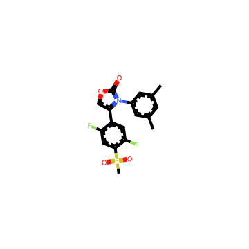 Cc1cc(C)cc(-n2c(-c3cc(F)c(S(C)(=O)=O)cc3F)coc2=O)c1